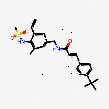 C=Cc1cc(CNC(=O)/C=C/c2ccc(C(C)(C)C)cc2)cc(C)c1NS(C)(=O)=O